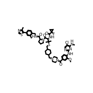 CNc1nc(Nc2ccc(C(=O)N3CCN(CC4CCC(CSC(C)(C)[C@H](NC(=O)C5(F)CC5)C(=O)N5CCCC5C(=O)NCc5ccc(-c6scnc6C)cc5C)CC4)CC3)cc2OC)ncc1Cl